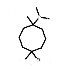 CCC1(C)CCCC(C)(P(C)C)CCC1